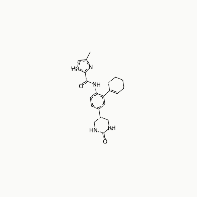 Cc1c[nH]c(C(=O)Nc2ccc(C3CNC(=O)NC3)cc2C2=CCCCC2)n1